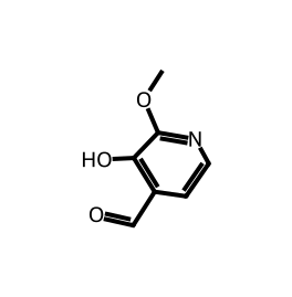 COc1nccc(C=O)c1O